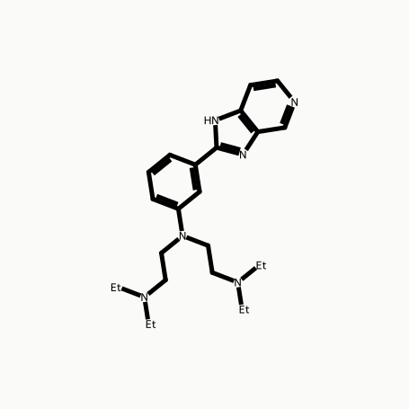 CCN(CC)CCN(CCN(CC)CC)c1cccc(-c2nc3cnccc3[nH]2)c1